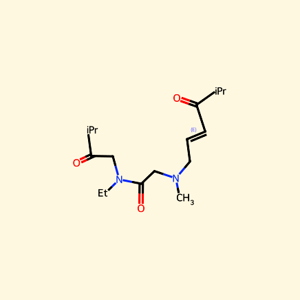 CCN(CC(=O)C(C)C)C(=O)CN(C)C/C=C/C(=O)C(C)C